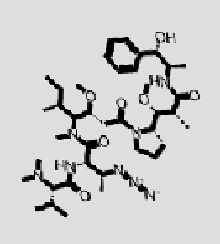 CC[C@H](C)[C@@H]([C@@H](CC(=O)N1CCC[C@H]1[C@H](OC)[C@@H](C)C(=O)N[C@H](C)[C@@H](O)c1ccccc1)OC)N(C)C(=O)[C@@H](NC(=O)[C@H](C(C)C)N(C)C)[C@H](C)N=[N+]=[N-]